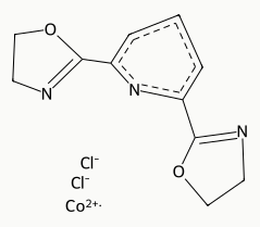 [Cl-].[Cl-].[Co+2].c1cc(C2=NCCO2)nc(C2=NCCO2)c1